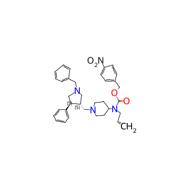 C=CCN(C(=O)OCc1ccc([N+](=O)[O-])cc1)C1CCN(C[C@H]2CN(Cc3ccccc3)C[C@@H]2c2ccccc2)CC1